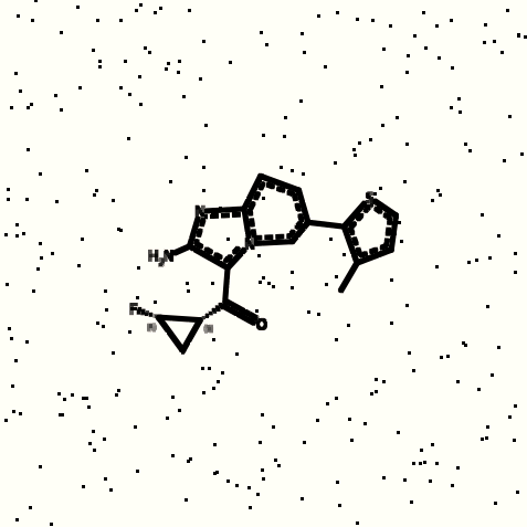 Cc1ccsc1-c1ccc2nc(N)c(C(=O)[C@@H]3C[C@@H]3F)n2c1